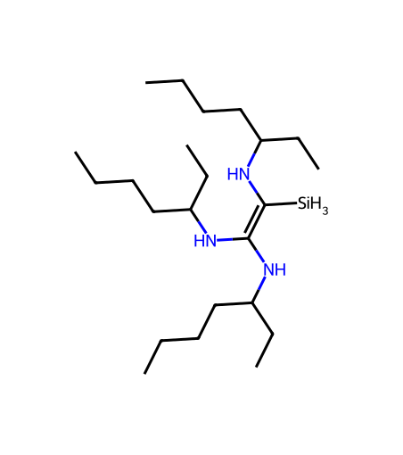 CCCCC(CC)NC([SiH3])=C(NC(CC)CCCC)NC(CC)CCCC